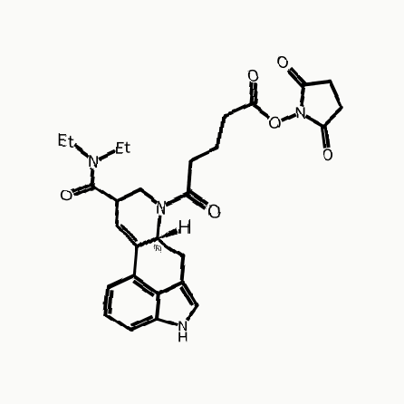 CCN(CC)C(=O)C1C=C2c3cccc4[nH]cc(c34)C[C@H]2N(C(=O)CCCC(=O)ON2C(=O)CCC2=O)C1